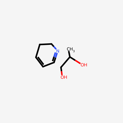 C1=CCCN=C1.CC(O)CO